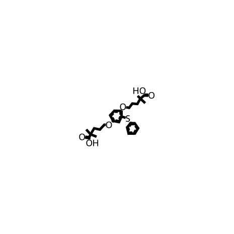 CC(C)(CCCOc1ccc(OCCCC(C)(C)C(=O)O)c(Sc2ccccc2)c1)C(=O)O